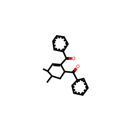 CC1C=C(C(=O)c2ccccc2)C(C(=O)c2ccccc2)CC1C